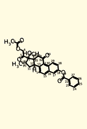 CC(=O)OCC(=O)[C@@]1(O)[C@H](C)C[C@H]2c3ccc4cc(OC(=O)c5ccccc5)ccc4c3C(=O)C[C@@]21C